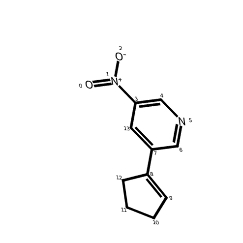 O=[N+]([O-])c1cncc(C2=CCCC2)c1